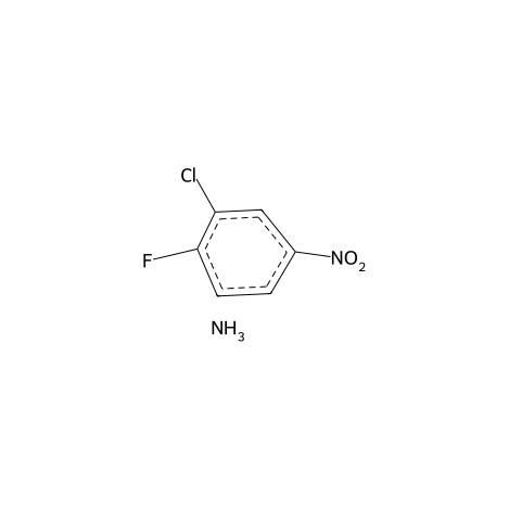 N.O=[N+]([O-])c1ccc(F)c(Cl)c1